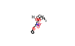 CC(C)(C)OC(=O)CCC(CCCOCc1ccccc1)[N+](=O)[O-]